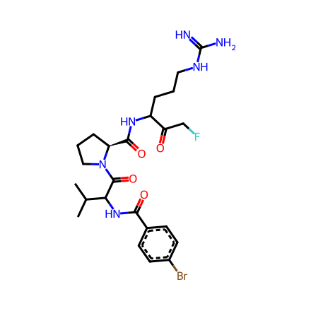 CC(C)C(NC(=O)c1ccc(Br)cc1)C(=O)N1CCC[C@H]1C(=O)NC(CCCNC(=N)N)C(=O)CF